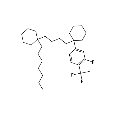 CCCCCCCC1(CCCCC2(c3ccc(C(F)(F)F)c(F)c3)CCCCC2)CCCCC1